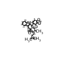 CC1C(=O)N2[C@H](c3ccc4c(c3)OCO4)c3[nH]c4ccccc4c3C[C@@H]2C(=O)N1CCN(C)C